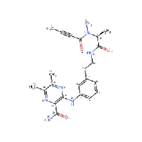 CC#CC(=O)N(C)[C@@H](C)C(=O)NCCc1cccc(Nc2nc(C)c(C)nc2C(N)=O)c1